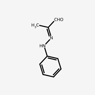 CC(C=O)=NNc1ccccc1